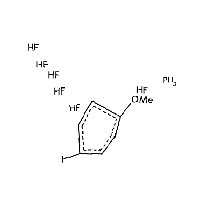 COc1ccc(I)cc1.F.F.F.F.F.F.P